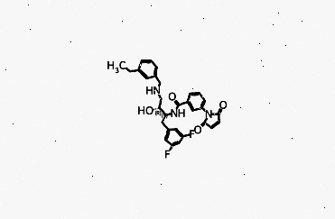 CCc1cccc(CNC[C@@H](O)[C@H](Cc2cc(F)cc(F)c2)NC(=O)c2cccc(N3C(=O)C=CC3=O)c2)c1